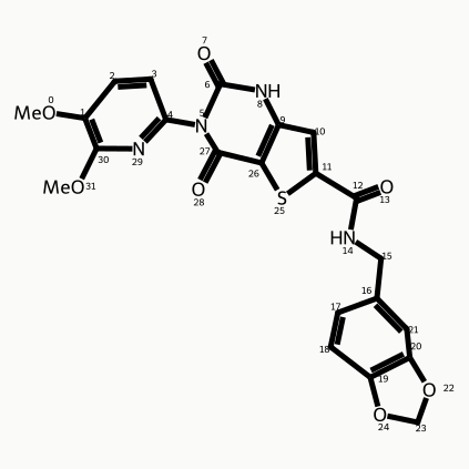 COc1ccc(-n2c(=O)[nH]c3cc(C(=O)NCc4ccc5c(c4)OCO5)sc3c2=O)nc1OC